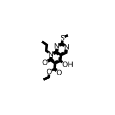 CCCn1c(=O)c(C(=O)OCC)c(O)c2cnc(SC)nc21